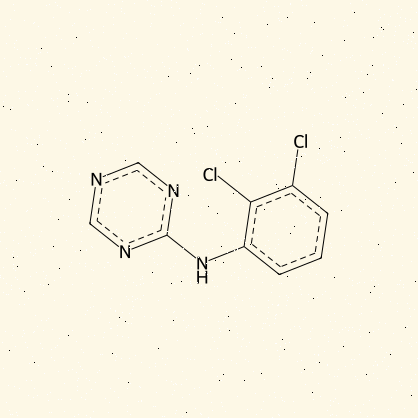 Clc1cccc(Nc2ncncn2)c1Cl